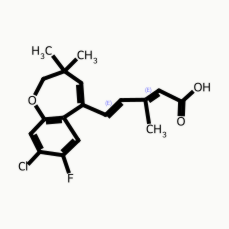 CC(/C=C/C1=CC(C)(C)COc2cc(Cl)c(F)cc21)=C\C(=O)O